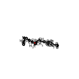 Cc1c(-c2ccc(-c3ccc4cncc(C(=O)Nc5nc6ccccc6s5)c4c3)nc2C(=O)O)cnn1CC12CC3(C)CC(C)(C1)CC(OCCN(C)C(=O)OCc1ccc(NC(=O)N(C(=O)[C@@H](NC(=O)CCCCCN4C(=O)C=CC4=O)C(C)C)[C@@H](CCCN)C(N)=O)cc1)(C3)C2